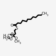 CCCCCCCCCCCC(=O)SCC[Si](OC)(OC)OC